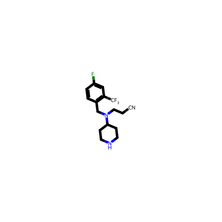 N#CCCN(Cc1ccc(F)cc1C(F)(F)F)C1CCNCC1